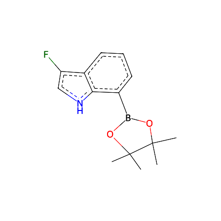 CC1(C)OB(c2cccc3c(F)c[nH]c23)OC1(C)C